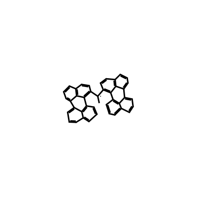 C[C](c1ccc2cccc3c4cccc5cccc(c1c23)c54)c1ccc2cccc3c4cccc5cccc(c1c23)c54